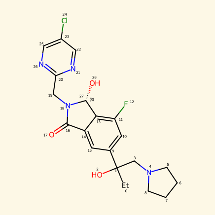 CCC(O)(CN1CCCC1)c1cc(F)c2c(c1)C(=O)N(Cc1ncc(Cl)cn1)[C@@H]2O